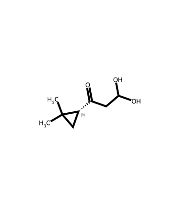 CC1(C)C[C@H]1C(=O)CC(O)O